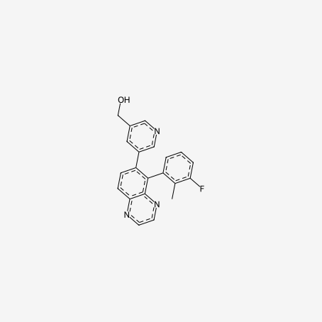 Cc1c(F)cccc1-c1c(-c2cncc(CO)c2)ccc2nccnc12